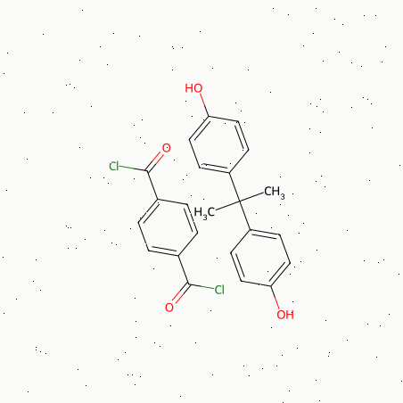 CC(C)(c1ccc(O)cc1)c1ccc(O)cc1.O=C(Cl)c1ccc(C(=O)Cl)cc1